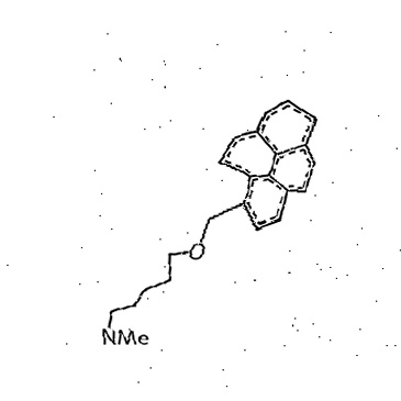 CNCCCCCOCc1ccc2ccc3cccc4ccc1c2c34